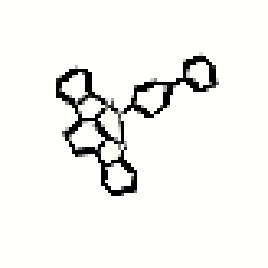 c1ccc(-c2ccc(-p3n4c5ccccc5c5ccc6c7ccccc7n3c6c54)cc2)cc1